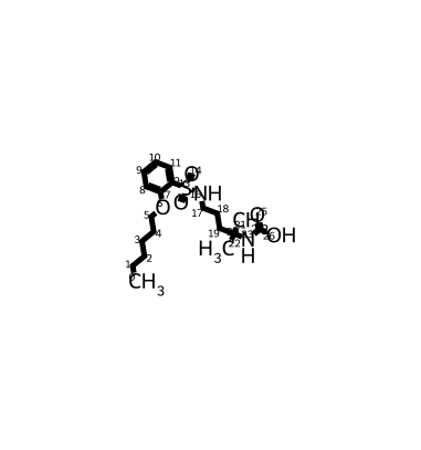 CCCCCCOc1ccccc1S(=O)(=O)NCCCC(C)(C)NC(=O)O